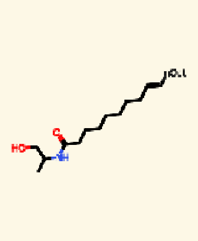 CCCCCCCCC=CCCCCCCCC(=O)NC(C)CO